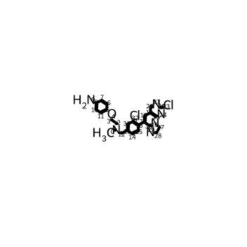 CN(CCOc1ccc(N)cc1)Cc1ccc(C2=Cc3cnc(Cl)nc3N3CCN=C23)c(Cl)c1